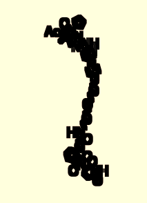 CC(=O)c1c(C)c2cnc(Nc3ccc(N4CCN(CCOCCOCCOCCNC(=O)COc5cccc6c5C(=O)N(C5CCC(=O)NC5=O)C6=O)CC4)cn3)nc2n(C2CCCC2)c1=O